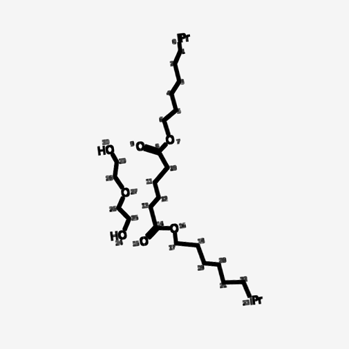 CC(C)CCCCCCOC(=O)CCCCC(=O)OCCCCCCC(C)C.OCCOCCO